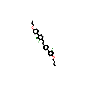 CCCCOc1ccc(-c2ccc(CCc3ccc(C4=CCC(OCCC)CC4)c(F)c3F)cc2)c(F)c1